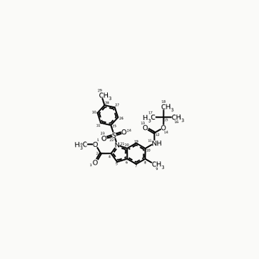 COC(=O)c1cc2cc(C)c(NC(=O)OC(C)(C)C)cc2n1S(=O)(=O)c1ccc(C)cc1